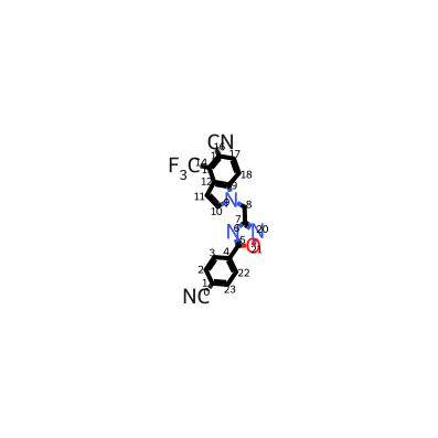 N#Cc1ccc(-c2nc(Cn3ccc4c(C(F)(F)F)c(C#N)ccc43)no2)cc1